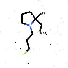 COCC1(C(C)C)CCCN1CCCF